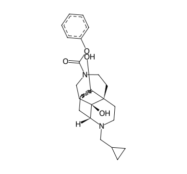 O=C(Oc1ccccc1)N1CC[C@]23CCN(CC4CC4)[C@H](Cc4ccc(O)cc42)[C@]3(O)CC1